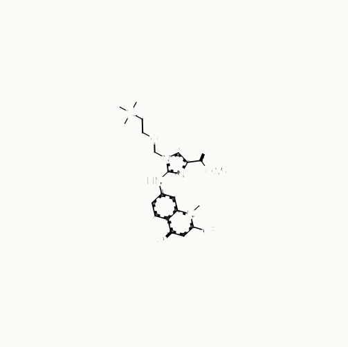 COC(=O)c1cn(COCC[Si](C)(C)C)c(Nc2ccc3c(=O)cc(C(F)(F)F)n(C)c3c2)n1